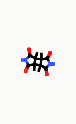 CC12C(=O)NC(=O)C1(C)C1(C)C(=O)NC(=O)C21C